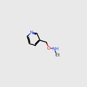 CCNOCc1cccnc1